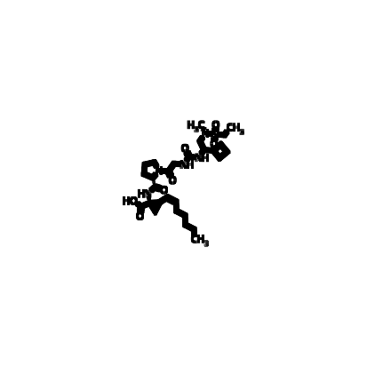 CCCCC/C=C\C1C[C@]1(NC(=O)[C@@H]1CCCN1C(=O)CNC(=O)NC(CN(C)S(=O)(=O)CC)C1CCC1)C(=O)O